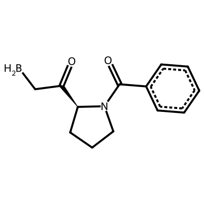 BCC(=O)[C@@H]1CCCN1C(=O)c1ccccc1